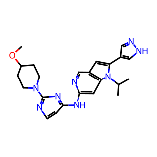 COC1CCN(c2nccc(Nc3cc4c(cn3)cc(-c3cn[nH]c3)n4C(C)C)n2)CC1